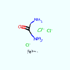 NC(N)=O.[Cl-].[Cl-].[Cl-].[Fe+3]